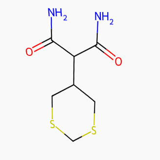 NC(=O)C(C(N)=O)C1CSCSC1